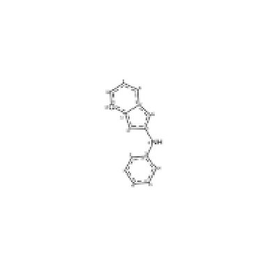 c1ccc(Nc2cc3cccoc-3c2)cc1